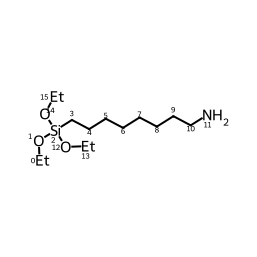 CCO[Si](CCCCCCCCN)(OCC)OCC